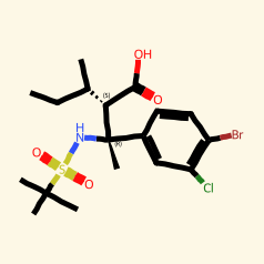 CCC(C)[C@H](C(=O)O)[C@@](C)(NS(=O)(=O)C(C)(C)C)c1ccc(Br)c(Cl)c1